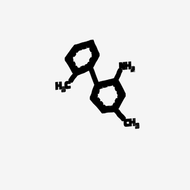 Cc1ccc(-c2ccccc2C)c(N)c1